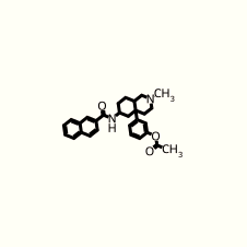 CC(=O)Oc1cccc(C23CCN(C)CC2CCC(NC(=O)c2ccc4ccccc4c2)C3)c1